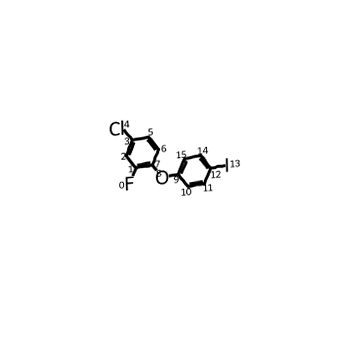 Fc1cc(Cl)ccc1Oc1ccc(I)cc1